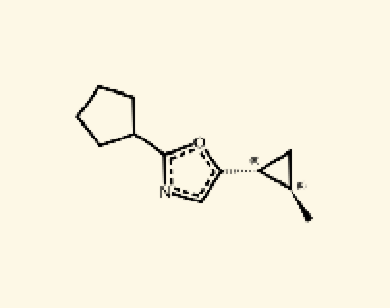 C[C@@H]1C[C@H]1c1cnc(C2CCCC2)o1